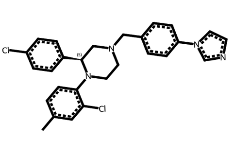 Cc1ccc(N2CCN(Cc3ccc(-n4ccnc4)cc3)C[C@@H]2c2ccc(Cl)cc2)c(Cl)c1